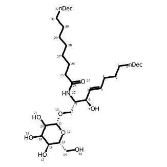 CCCCCCCCCCCCC/C=C/[C@@H](O)[C@H](CO[C@@H]1O[C@H](CO)[C@@H](O)C(O)C1O)NC(=O)CCCCCCCCCCCCCCCCC